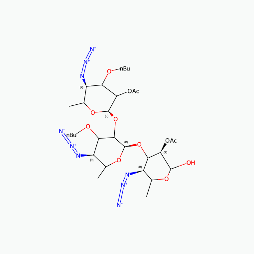 CCCCOC1C(O[C@H]2OC(C)[C@@H](N=[N+]=[N-])C(OCCCC)C2OC(C)=O)[C@@H](OC2[C@H](N=[N+]=[N-])C(C)OC(O)[C@@H]2OC(C)=O)OC(C)[C@H]1N=[N+]=[N-]